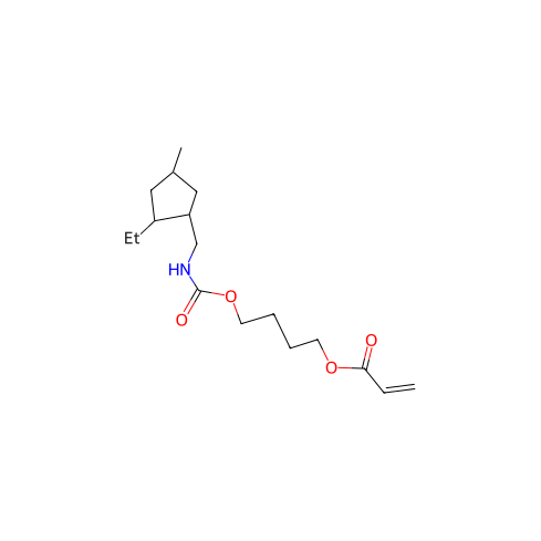 C=CC(=O)OCCCCOC(=O)NCC1CC(C)CC1CC